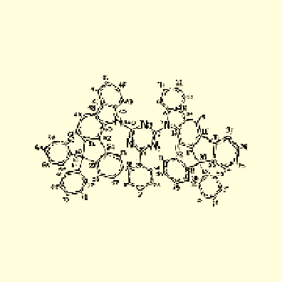 c1ccc(-c2nc(-n3c4ccccc4c4cc5c(cc43)C(c3ccccc3)(c3ccccc3)c3ccccc3-5)nc(-n3c4ccccc4c4ccc5c(c43)-c3ccccc3C5(c3ccccc3)c3ccccc3)n2)cc1